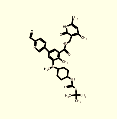 Cc1cc(C)c(CNC(=O)c2cc(-c3ccc(C=O)nc3)cc(N(C)C3CCC(NC(=O)OC(C)(C)C)CC3)c2C)c(=O)[nH]1